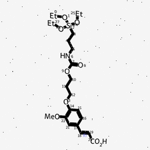 CCO[Si](CCCNC(=O)OCCCOc1ccc(/C=C/C(=O)O)cc1OC)(OCC)OCC